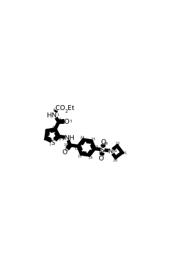 CCOC(=O)NC(=O)c1ccsc1NC(=O)c1ccc(S(=O)(=O)N2CCC2)cc1